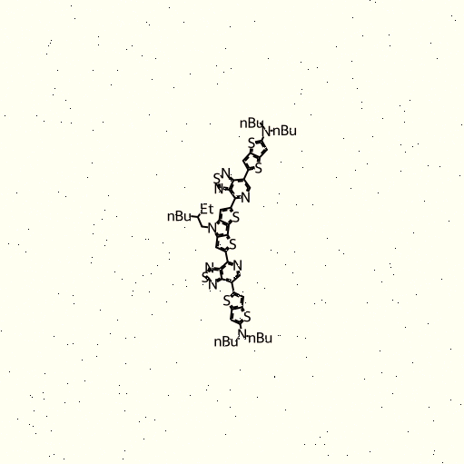 CCCCC(CC)Cn1c2cc(-c3ncc(-c4cc5sc(N(CCCC)CCCC)cc5s4)c4nsnc34)sc2c2sc(-c3ncc(-c4cc5sc(N(CCCC)CCCC)cc5s4)c4nsnc34)cc21